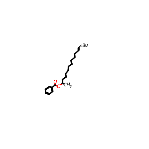 CCCC/C=C/CCCCCCCCCC(C)OC(=O)c1ccccc1